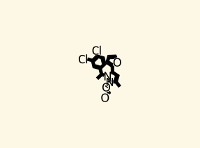 CC1=CC(c2ccco2)N(C(C)c2ccc(Cl)c(Cl)c2)N1OC=O